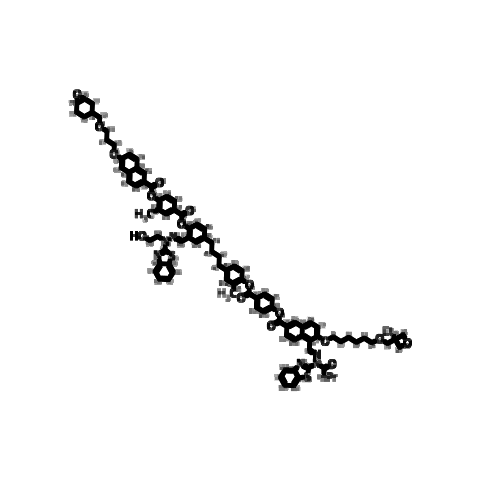 CCCC(=O)N(/N=C/c1c(OCCCCCCOCC2(CC)COC2)ccc2cc(C(=O)Oc3ccc(C(=O)Oc4ccc(CCCCc5ccc(OC(=O)c6ccc(OC(=O)c7ccc8cc(OCCCOCC9CCC%10OC%10C9)ccc8c7)c(C)c6)c(/C=N/N(CCO)c6nc7ccccc7s6)c5)cc4C)cc3)ccc12)c1nc2ccccc2s1